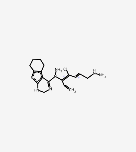 C=C/C(=C(Cl)\C=C\CNN)N(N)C1=NCNc2sc3c(c21)CCCC3